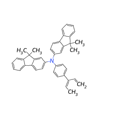 C=C/C(=C\C)c1ccc(N(c2ccc3c(c2)C(C)(C)c2ccccc2-3)c2ccc3c(c2)C(C)(C)c2ccccc2-3)cc1